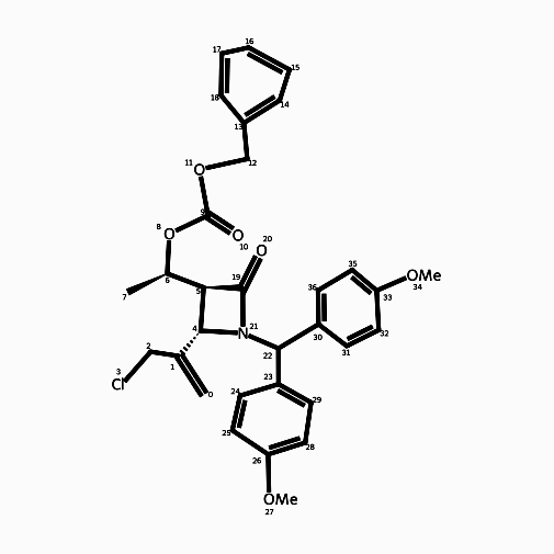 C=C(CCl)[C@@H]1[C@@H]([C@@H](C)OC(=O)OCc2ccccc2)C(=O)N1C(c1ccc(OC)cc1)c1ccc(OC)cc1